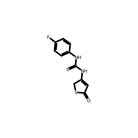 O=C1C=C(NC(=S)Nc2ccc(F)cc2)CS1